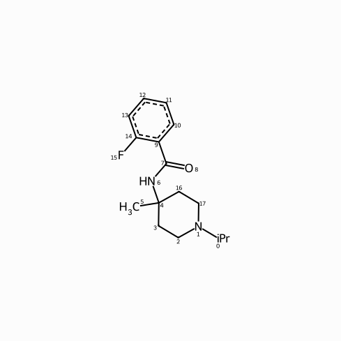 CC(C)N1CCC(C)(NC(=O)c2ccccc2F)CC1